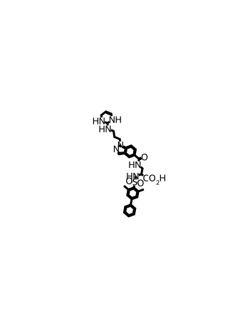 Cc1cc(-c2ccccc2)cc(C)c1S(=O)(=O)NC(CNC(=O)c1ccc2c(cnn2CCCNC2NC=CCN2)c1)C(=O)O